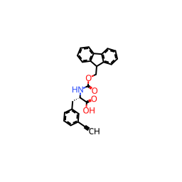 C#Cc1cccc(C[C@H](NC(=O)OCC2c3ccccc3-c3ccccc32)C(=O)O)c1